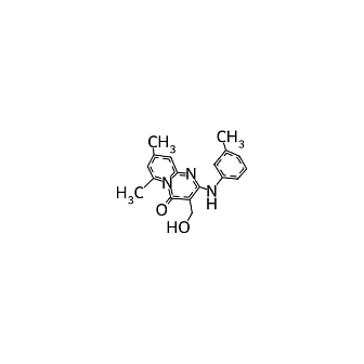 Cc1cccc(Nc2nc3cc(C)cc(C)n3c(=O)c2CO)c1